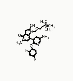 Cn1cc(-c2cc(N)cnc2Oc2ccc(F)cc2F)c2c(cc(C#N)n2COCC[Si](C)(C)C)c1=O